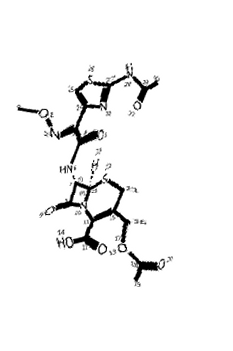 CON=C(C(=O)N[C@H]1C(=O)N2C(C(=O)O)=C(COC(C)=O)CS[C@H]12)c1csc(NC(C)=O)n1